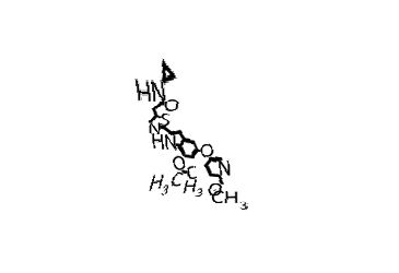 COCc1ccc(Oc2cc(OC(C)C)c3[nH]c(C4=NCC(CC(=O)NC5CC5)S4)cc3c2)cn1